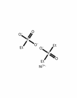 CCP(=O)([O-])CC.CCP(=O)([O-])[O-].[Ni+3]